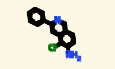 Nc1ccc2cnc(-c3ccccc3)cc2c1Cl